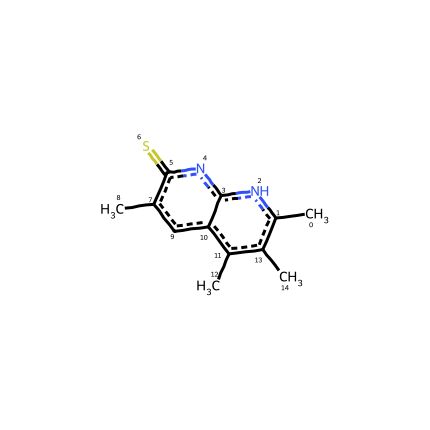 Cc1[nH]c2nc(=S)c(C)cc-2c(C)c1C